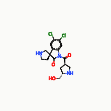 O=C([C@H]1CN[C@H](CO)C1)N1C(=O)[C@@]2(CCNC2)c2cc(Cl)c(Cl)cc21